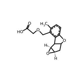 Cc1ccc2c(c1COCC(=O)O)C1C(C[C@H]3O[C@@H]13)O2